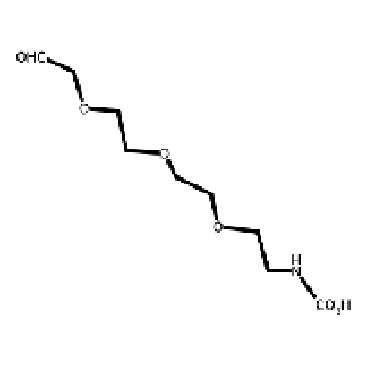 O=CCOCCOCCOCCNC(=O)O